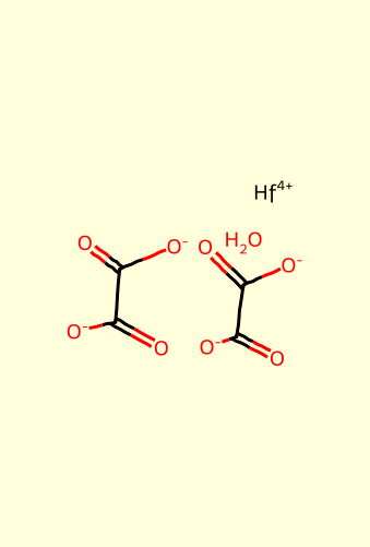 O.O=C([O-])C(=O)[O-].O=C([O-])C(=O)[O-].[Hf+4]